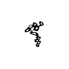 C1=CC(N(c2ccc(-c3ccccc3)cc2)c2cccc3sc4ccccc4c23)CC=C1c1ccc2c(ccc3c4ccccc4ccc23)c1